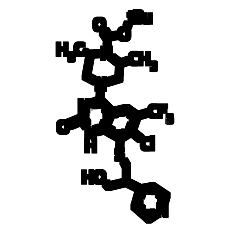 CC1CN(c2nc(=O)[nH]c3c(SCC(CO)c4ccncc4)c(Cl)c(C(F)(F)F)cc23)C[C@@H](C)N1C(=O)OC(C)(C)C